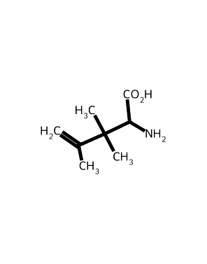 C=C(C)C(C)(C)C(N)C(=O)O